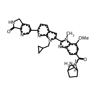 COc1cc(C(=O)N2CC3CCC2[C@@H]3N)cc2nc(-c3cc4ccc(-c5cnc6c(c5)CNC6=O)nc4n3CC3CC3)n(C)c12